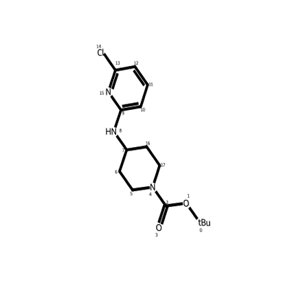 CC(C)(C)OC(=O)N1CCC(Nc2cccc(Cl)n2)CC1